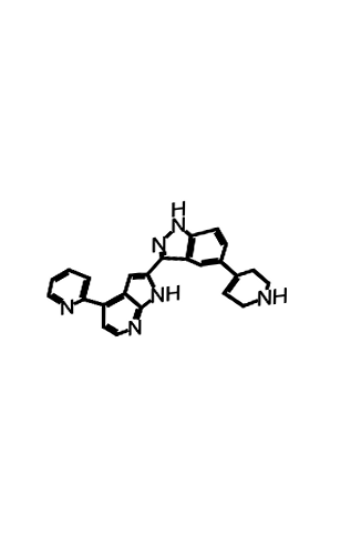 C1=C(c2ccc3[nH]nc(-c4cc5c(-c6ccccn6)ccnc5[nH]4)c3c2)CCNC1